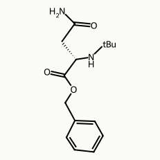 CC(C)(C)N[C@@H](CC(N)=O)C(=O)OCc1ccccc1